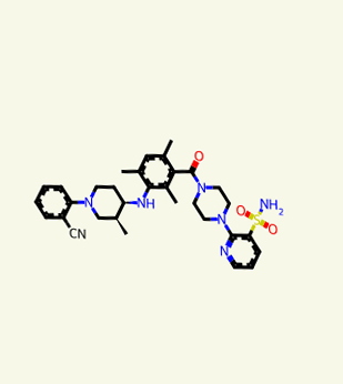 Cc1cc(C)c(C(=O)N2CCN(c3ncccc3S(N)(=O)=O)CC2)c(C)c1N[C@@H]1CCN(c2ccccc2C#N)C[C@@H]1C